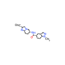 Cn1ncc2cc(C(=O)Nc3ccc4nc(C=O)cn4c3)ccc21